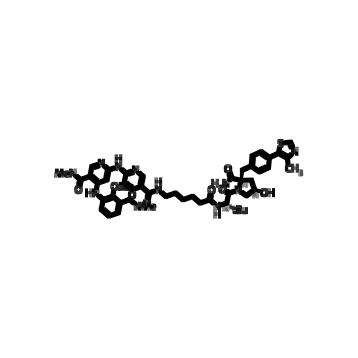 CNC(=O)c1cnc(Nc2ccc(C(=O)NCCCCCC(=O)N[C@H](C(=O)N3C[C@H](O)C[C@@]3(Cc3ccc(-c4scnc4C)cc3)C(N)=O)C(C)(C)C)cn2)cc1Nc1cccc(C(=O)NC)c1OC